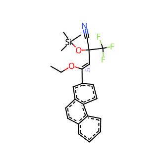 CCO/C(=C\C(C#N)(O[Si](C)(C)C)C(F)(F)F)c1ccc2c(ccc3ccccc32)c1